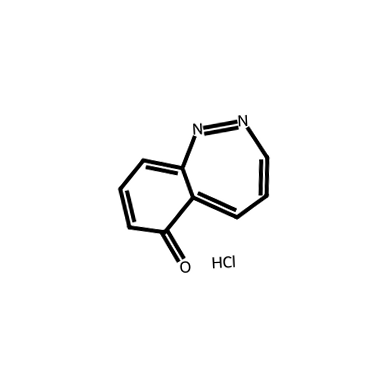 Cl.O=c1cccc2nncccc1-2